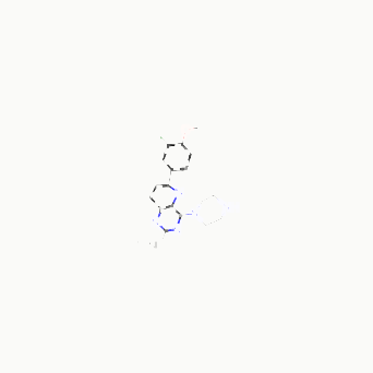 CCOc1ccc(-c2ccc3nc(NC(C)=O)nc(N4CCNCC4)c3n2)cc1Cl